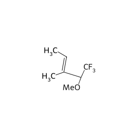 C/C=C(\C)C(OC)C(F)(F)F